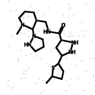 CC1CCC(C2CC(C(=O)NCC3CCCN(C)C3N3CCCN3)NN2)S1